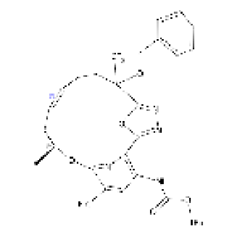 C[C@H]1C/C=C\CCC(OCc2ccccc2)(C(F)(F)F)c2nnc(o2)-c2nc(c(C(F)(F)F)cc2NC(=O)OC(C)(C)C)O1